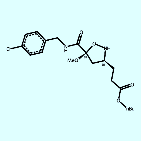 CCCCOC(=O)CC[C@H]1C[C@](OC)(C(=O)NCc2ccc(Cl)cc2)ON1